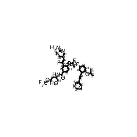 Nc1ncc(/C=C(\F)c2cc(C(=O)NC(CO)CCOC(F)(F)F)ccc2OC(F)F)cn1.O=C(O)c1ccc(OC(F)F)c(C#Cc2cncnc2)c1